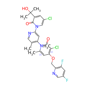 C/C(=C/C(OCc1ncc(F)cc1F)=C(\C)Cl)N(C=O)c1cc(-n2cc(Cl)cc(C(C)(C)O)c2=O)ncc1C